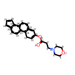 O=C(CCN1CCOCC1)OC1=CCc2c(ccc3c4c(ccc23)=CC=C4)=C1